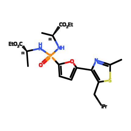 CCOC(=O)[C@H](C)NP(=O)(N[C@@H](C)C(=O)OCC)c1ccc(-c2nc(C)sc2CC(C)C)o1